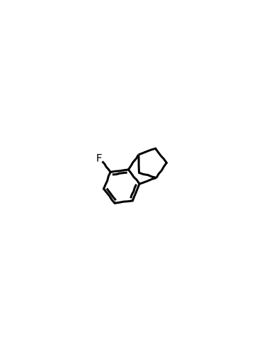 Fc1cccc2c1C1CCC2C1